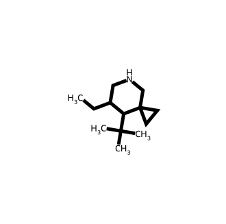 CCC1CNCC2(CC2)C1C(C)(C)C